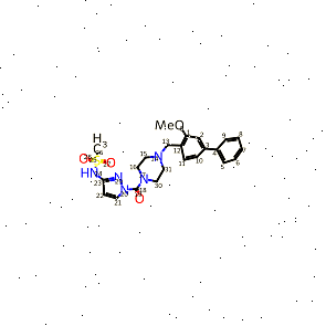 COc1cc(-c2ccccc2)ccc1CN1CCN(C(=O)n2ccc(NS(C)(=O)=O)n2)CC1